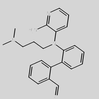 CN(C)CCCN(c1ccccc1-c1ccccc1C=O)c1cccnc1N